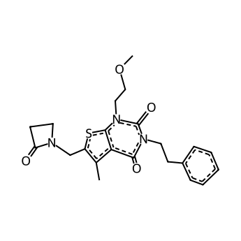 COCCn1c(=O)n(CCc2ccccc2)c(=O)c2c(C)c(CN3CCC3=O)sc21